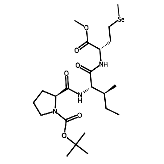 CC[C@H](C)[C@H](NC(=O)[C@@H]1CCCN1C(=O)OC(C)(C)C)C(=O)N[C@@H](CC[Se]C)C(=O)OC